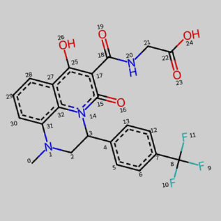 CN1CC(c2ccc(C(F)(F)F)cc2)n2c(=O)c(C(=O)NCC(=O)O)c(O)c3cccc1c32